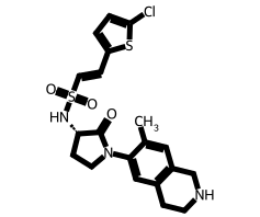 Cc1cc2c(cc1N1CC[C@H](NS(=O)(=O)C=Cc3ccc(Cl)s3)C1=O)CCNC2